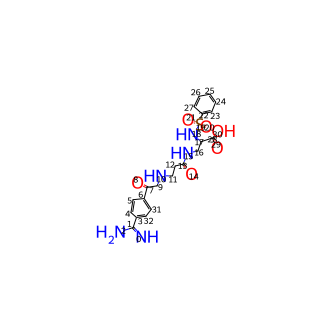 N=C(N)c1ccc(C(=O)CNCCC(=O)NCC(NS(=O)(=O)c2ccccc2)C(=O)O)cc1